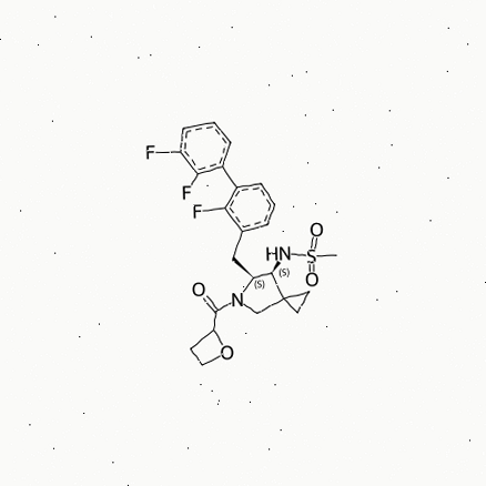 CS(=O)(=O)N[C@@H]1[C@H](Cc2cccc(-c3cccc(F)c3F)c2F)N(C(=O)C2CCO2)CC12CC2